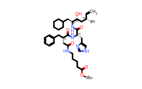 C=C[C@@H](C[C@@H](O)[C@H](CC1CCCCC1)NC(=O)[C@H](Cc1c[nH]cn1)NC(=O)[C@H](CC(=O)NCCCCC(=O)OC(C)(C)C)Cc1ccccc1)C(C)C